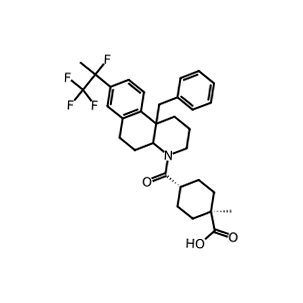 CC(F)(c1ccc2c(c1)CCC1N(C(=O)[C@H]3CC[C@](C)(C(=O)O)CC3)CCCC21Cc1ccccc1)C(F)(F)F